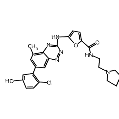 Cc1cc(-c2cc(O)ccc2Cl)cc2nnc(Nc3ccc(C(=O)NCCN4CCCC4)o3)nc12